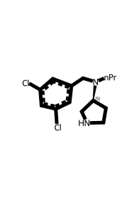 CCCN(Cc1cc(Cl)cc(Cl)c1)[C@H]1CCNC1